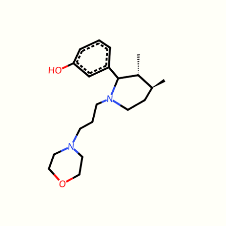 C[C@H]1CCN(CCCN2CCOCC2)C(c2cccc(O)c2)[C@@H]1C